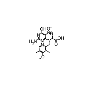 COc1c(C)cnc(CN(c2nc(N)nc(O)c2[N+](=O)[O-])C(C)C(=O)O)c1C